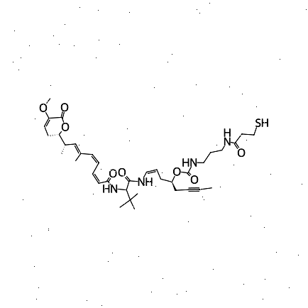 CC#CC[C@@H](C/C=C\NC(=O)C(NC(=O)\C=C/C=C\C(C)=C\[C@H](C)[C@@H]1CC=C(OC)C(=O)O1)C(C)(C)C)OC(=O)NCCCNC(=O)CCS